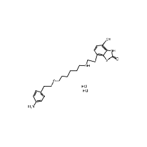 Cl.Cl.Nc1ccc(CCOCCCCCCNCCc2ccc(O)c3[nH]c(=O)sc23)cc1